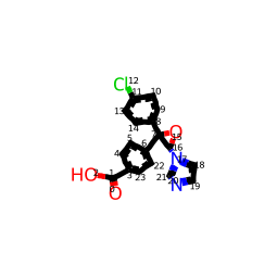 O=C(O)c1ccc(C2(c3ccc(Cl)cc3)OC2n2ccnc2)cc1